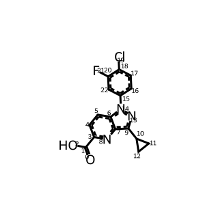 O=C(O)c1ccc2c(n1)c(C1CC1)nn2-c1ccc(Cl)c(F)c1